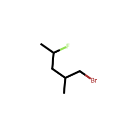 CC(F)CC(C)CBr